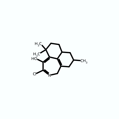 CC1CC2=C3C(=C(O)C(Cl)=NC2)C(C)(C)CCC3C1